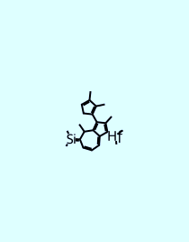 CC1=CCC(C2=C3C(=CC=CC(=[Si](C)C)C3C)[C]([Hf]([CH3])[CH3])=C2C)=C1C